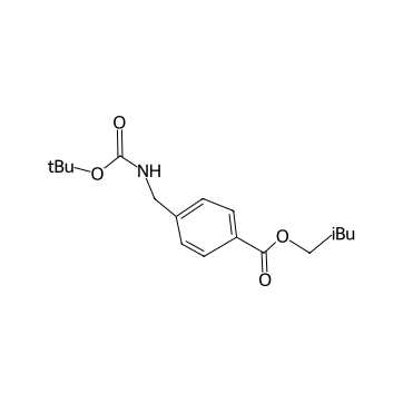 CCC(C)COC(=O)c1ccc(CNC(=O)OC(C)(C)C)cc1